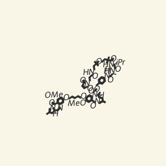 COc1cc2c(cc1OCCCCCOc1cc3c(cc1OC)C(=O)N1C=C(C)C[C@H]1C(C)N3C(=O)OCc1ccc(NC(=O)[C@H](C)NC(=O)[C@@H](NC(=O)C(C)(C)CCOC(C)(C)CCNC(=O)CCN3C(=O)C=CC3=O)C(C)C)cc1)N=C[C@@H]1CC(C)=CN1C2=O